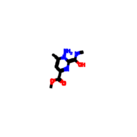 C=N/C(O)=C1/N=C(C(=O)OC)C=C(C)N1N